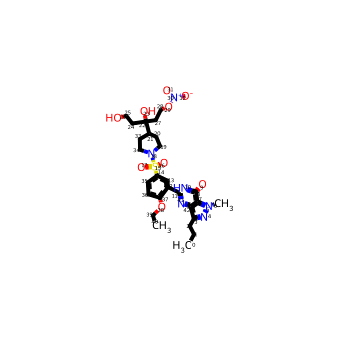 CCCc1nn(C)c2c(=O)[nH]c(-c3cc(S(=O)(=O)N4CCC(C(O)(CCO)CCO[N+](=O)[O-])CC4)ccc3OCC)nc12